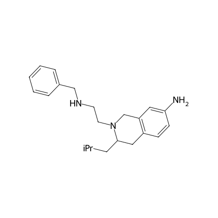 CC(C)CC1Cc2ccc(N)cc2CN1CCNCc1ccccc1